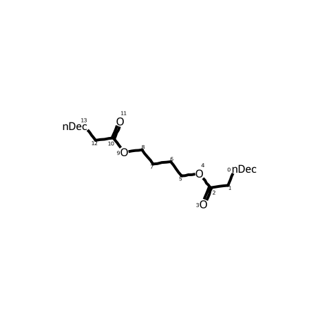 CCCCCCCCCCCC(=O)OCCCCOC(=O)CCCCCCCCCCC